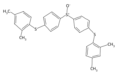 Cc1ccc(Sc2ccc([S+]([O-])c3ccc(Sc4ccc(C)cc4C)cc3)cc2)c(C)c1